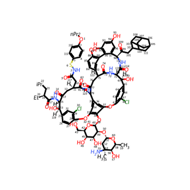 CCCOc1ccc(SNC(=O)C[C@@H]2CC(=O)[C@H](NC(=O)[C@@H](CC)CC(C)C)[C@H](O)c3ccc(c(Cl)c3)Oc3cc4cc(c3O[C@@H]3O[C@H](CO)[C@H](O)[C@H](O)[C@@H]3O[C@H]3C[C@](C)(N)[C@H](O)[C@H](C)O3)Oc3ccc(cc3Cl)[C@H](O)[C@H]3NC(=O)[C@@H](CC(=O)[C@@H]4NC2=O)c2ccc(O)c(c2)-c2c(O)cc(O)cc2[C@@H](C(=O)CC2C4CC5CC(C4)CC2C5)NC3=O)cc1